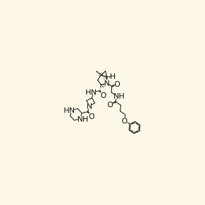 C[C@@]12C[C@@H]1N(C(=O)CNC(=O)CCCOc1ccccc1)[C@H](C(=O)NC1CN(C(=O)C3CNCCN3)C1)C2